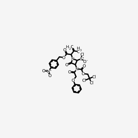 C=C(C)C(C(=O)OCc1ccc([N+](=O)[O-])cc1)N1C(=O)C(N(C(=O)COc2ccccc2)C(=O)OCC(Cl)(Cl)Cl)C1[S+]([O-])Cl